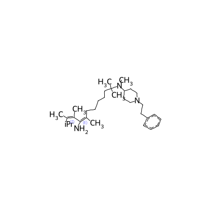 CC(=C(\C)C(C)C)/C(N)=C(/C)CCCCCC(C)(C)N(C)C1CCN(CCc2ccccc2)CC1